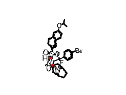 CC(C)Oc1ccc2cc(S(=O)(=O)N[C@@H](C(=O)N3C4CCC3CC(N(C)C)C4)C(F)(F)c3ccc(Br)cc3)ccc2c1